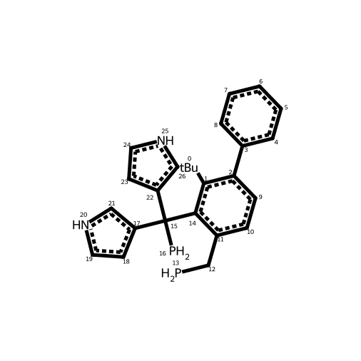 CC(C)(C)c1c(-c2ccccc2)ccc(CP)c1C(P)(c1cc[nH]c1)c1cc[nH]c1